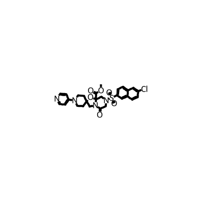 COC(=O)C12CN(S(=O)(=O)c3ccc4cc(Cl)ccc4c3)CC(=O)N1CC1(CCN(c3ccncc3)CC1)O2